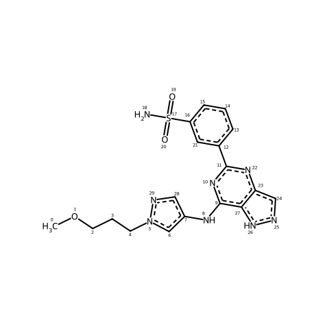 COCCCn1cc(Nc2nc(-c3cccc(S(N)(=O)=O)c3)nc3cn[nH]c23)cn1